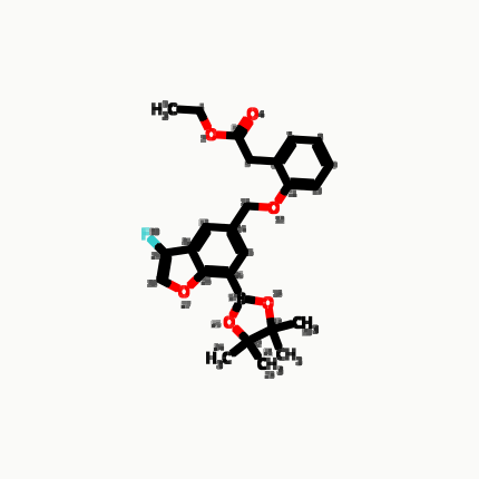 CCOC(=O)Cc1ccccc1OCc1cc(B2OC(C)(C)C(C)(C)O2)c2occ(F)c2c1